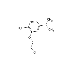 Cc1ccc(C(C)C)cc1OCCCl